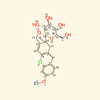 CCOc1ccc(CC2=C(Cl)C=C3CO[C@]4(O[C@H](CO)[C@@H](O)[C@H](O)[C@H]4O)C3(C)C2)cc1